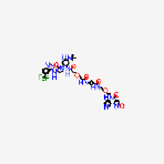 CN1C(=O)C[C@H](C(=O)NCCOCCNC(=O)C2CC(NC(=O)CCOCCC(=O)N[C@@H]3C[C@H](NC(C)(C)C)CC[C@@H]3N3CC[C@H](Nc4ncnc5ccc(C(F)(F)F)cc45)C3=O)C2)[C@H]1c1cccnc1